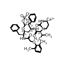 Cc1cccc(C)c1OCC(=O)N[C@@H](Cc1ccccc1)[C@H](C[C@@H](Cc1ccccc1)NC(=O)[C@H](C(C)C)N1CCCNC1=O)OC(C)OP(=O)([O-])[O-].[Ca+2]